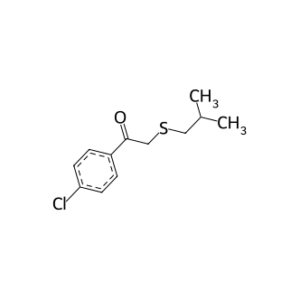 CC(C)CSCC(=O)c1ccc(Cl)cc1